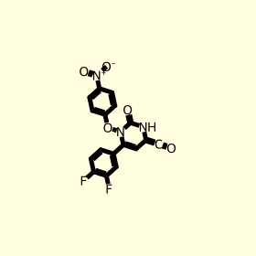 O=C=C1C=C(c2ccc(F)c(F)c2)N(Oc2ccc([N+](=O)[O-])cc2)C(=O)N1